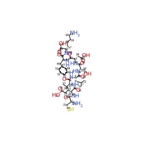 CC(C)C[C@H](NC(=O)[C@@H](NC(=O)[C@H](CCC(=O)O)NC(=O)[C@@H](N)CS)C(C)C)C(=O)N[C@@H](CO)C(=O)N[C@@H](CC(=O)O)C(=O)N[C@@H](Cc1ccccc1)C(=O)N[C@@H](CCCCN)C(=O)O